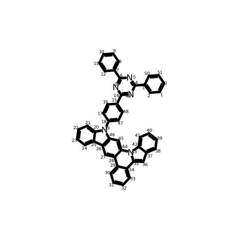 c1ccc(-c2nc(-c3ccccc3)nc(-c3ccc(-n4c5ccccc5c5cc6c7ccccc7c7cc8ccccc8n7c6cc54)cc3)n2)cc1